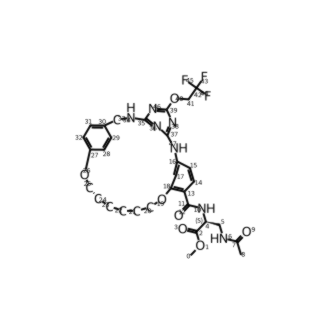 COC(=O)[C@H](CNC(C)=O)NC(=O)c1ccc2cc1OCCCCCCOc1ccc(cc1)CNc1nc(nc(OCC(F)(F)F)n1)N2